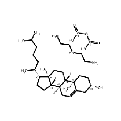 CC(C)CCCC(C)[C@H]1CC[C@H]2[C@@H]3CC=C4C[C@@H](O)CC[C@]4(C)[C@H]3CC[C@]12C.NCCNCCN.O=[PH](O)O[PH](=O)O